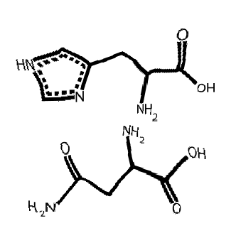 NC(=O)CC(N)C(=O)O.NC(Cc1c[nH]cn1)C(=O)O